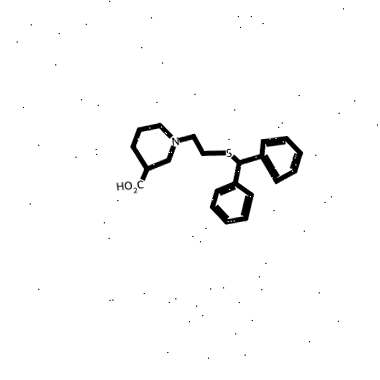 O=C(O)C1CCCN(CCSC(c2ccccc2)c2ccccc2)C1